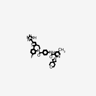 Cc1cnc(N2CC3(CCOCC3)C2)c(C(=O)Nc2ccc(C(=O)N3CCc4cc(-c5nnn[nH]5)sc4-c4ccc(F)cc43)cc2)c1